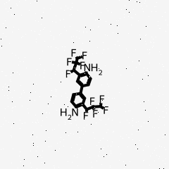 Nc1ccc(-c2ccc(N)c(C(F)C(F)(F)C(F)F)c2)cc1C(F)C(F)(F)C(F)F